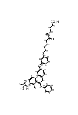 Cc1c(NS(C)(=O)=O)cccc1N(Cc1ccccc1)Cc1ccc(Oc2cccc(OCCCCC(=O)NCCCC(=O)O)c2)cc1